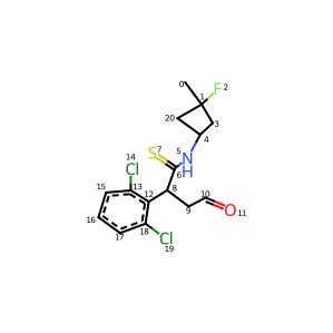 CC1(F)CC(NC(=S)C(CC=O)c2c(Cl)cccc2Cl)C1